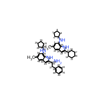 Cc1cc(NC2CCCC2)c2[nH]c(C3CCCCC3)cc2c1.Cc1cc(NC2CCCC2)c2[nH]c([C@H](N)Cc3ccccc3)cc2c1